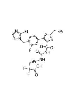 CCCNC(=O)NS(=O)(=O)c1sc(CC(C)C)cc1-c1ccc(Cn2ccnc2CC)c(F)c1.O=C(O)C(F)(F)F